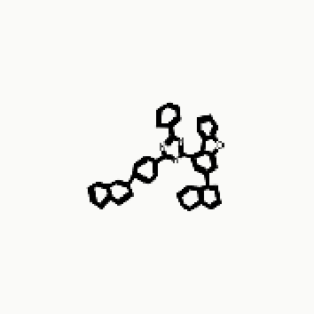 C1=Cc2c(cccc2-c2cc(-c3nc(-c4ccccc4)nc(-c4ccc(-c5ccc6ccccc6c5)cc4)n3)c3c(c2)oc2ccccc23)CC1